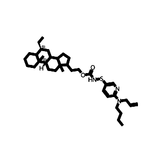 C=CCN(CCCC)c1ccc(SNC(=O)OCCC2CCC3C4C[C@H](CC)C5CCCCC5(C)[C@H]4CCC23C)cn1